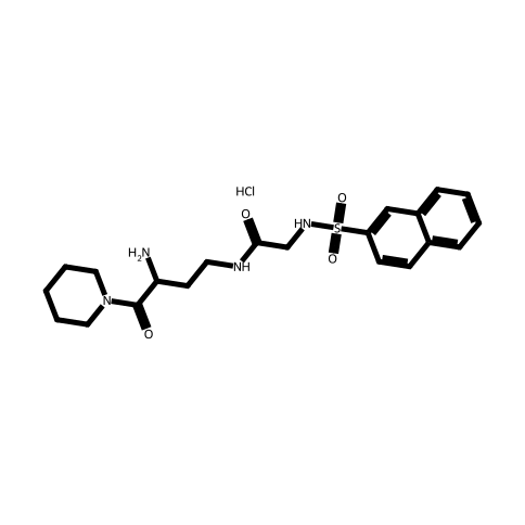 Cl.NC(CCNC(=O)CNS(=O)(=O)c1ccc2ccccc2c1)C(=O)N1CCCCC1